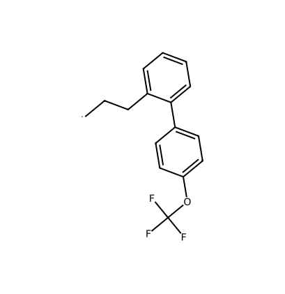 [CH2]CCc1ccccc1-c1ccc(OC(F)(F)F)cc1